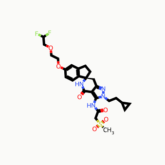 CS(=O)(=O)CC(=O)Nc1c2c(nn1CCC1CC1)C[C@@]1(CCc3cc(OCCOCC(F)F)ccc31)NC2=O